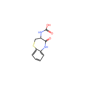 O=C(O)NC1CSc2ccccc2NC1=O